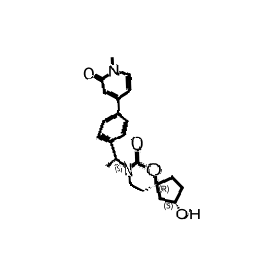 C[C@@H](c1ccc(-c2ccn(C)c(=O)c2)cc1)N1CC[C@@]2(CC[C@H](O)C2)OC1=O